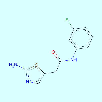 Nc1ncc(CC(=O)Nc2cccc(F)c2)s1